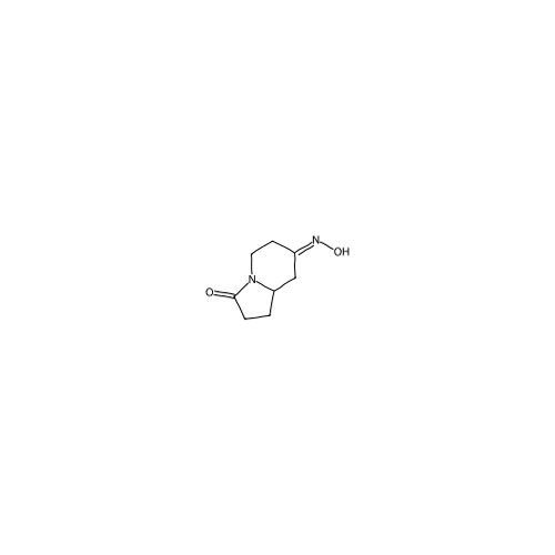 O=C1CCC2CC(=NO)CCN12